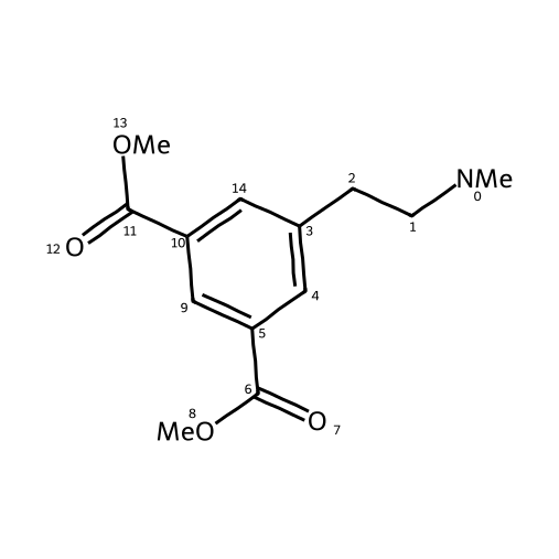 CNCCc1cc(C(=O)OC)cc(C(=O)OC)c1